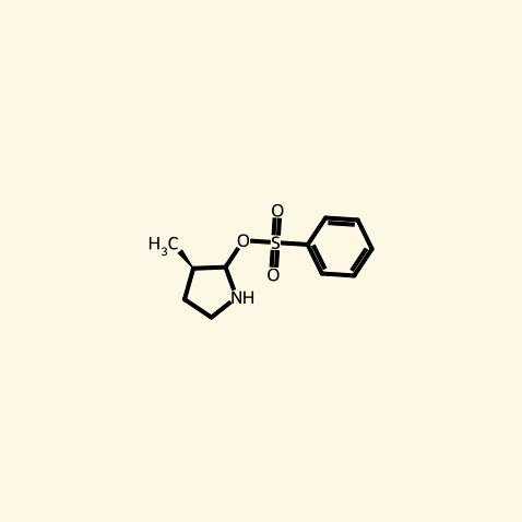 C[C@@H]1CCNC1OS(=O)(=O)c1ccccc1